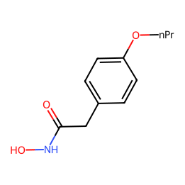 CCCOc1ccc(CC(=O)NO)cc1